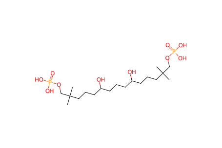 CC(C)(CCCC(O)CCCC(O)CCCC(C)(C)COP(=O)(O)O)COP(=O)(O)O